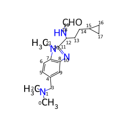 CN(C)Cc1ccc2c(c1)nc(C(CCC1CC1)NC=O)n2C